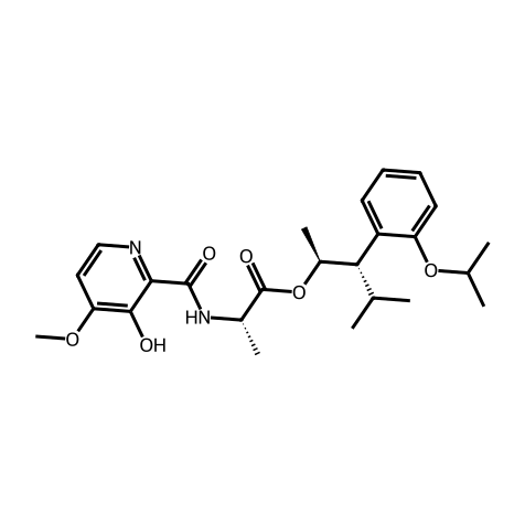 COc1ccnc(C(=O)N[C@@H](C)C(=O)O[C@@H](C)[C@H](c2ccccc2OC(C)C)C(C)C)c1O